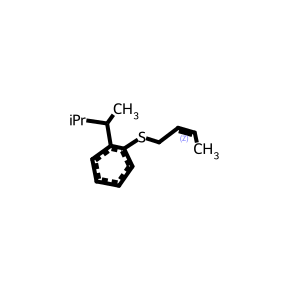 C/C=C\CSc1ccccc1C(C)C(C)C